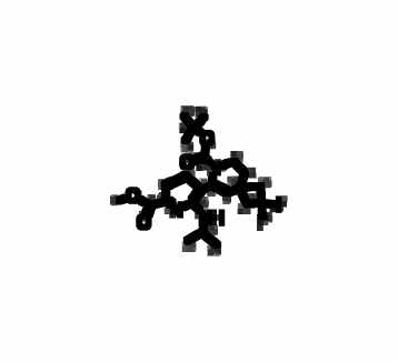 COC(=O)c1ccc(C2=CC3(CCN2C(=O)OC(C)(C)C)CC(F)(F)C3)c(NC(C)C)n1